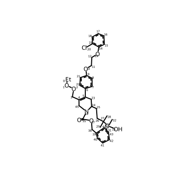 CCOOCC1=C(c2ccc(OCCOc3ccccc3Cl)cc2)CC(CCC(C)(C)[Si](C)(C)O)N(C(=O)OCc2ccccc2)C1